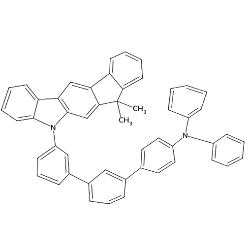 CC1(C)c2ccccc2-c2cc3c4ccccc4n(-c4cccc(-c5cccc(-c6ccc(N(c7ccccc7)c7ccccc7)cc6)c5)c4)c3cc21